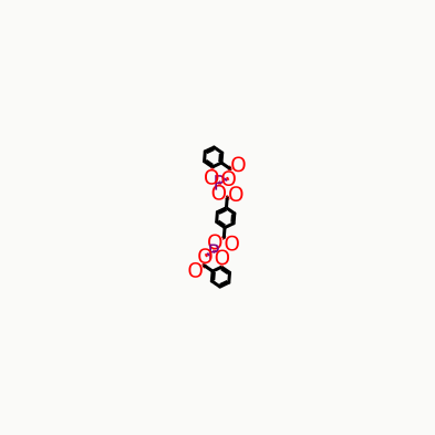 O=C(OP1OC(=O)c2ccccc2O1)c1ccc(C(=O)OP2OC(=O)c3ccccc3O2)cc1